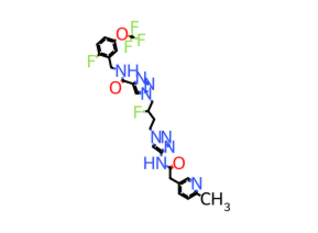 Cc1ccc(CC(=O)Nc2cn(CCC(F)Cn3cc(C(=O)NCc4cc(OC(F)(F)F)ccc4F)nn3)nn2)cn1